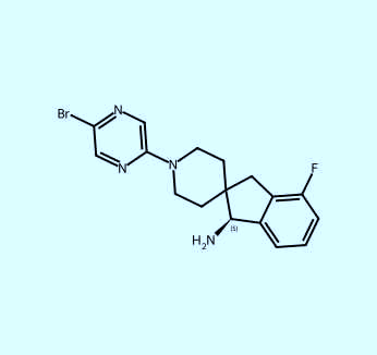 N[C@@H]1c2cccc(F)c2CC12CCN(c1cnc(Br)cn1)CC2